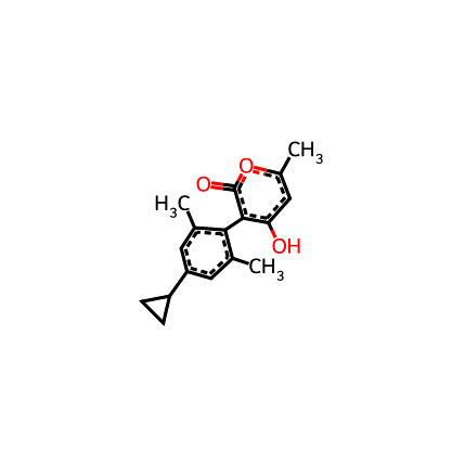 Cc1cc(O)c(-c2c(C)cc(C3CC3)cc2C)c(=O)o1